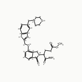 COC(=O)CCC(C(N)=O)N1Cc2c(OCc3nc4cc(CN5CCOCC5)ccc4s3)cccc2C1=O